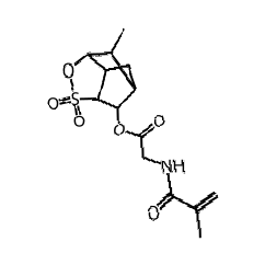 C=C(C)C(=O)NCC(=O)OC1C2CC3C(OS(=O)(=O)C31)C2C